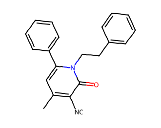 [C-]#[N+]c1c(C)cc(-c2ccccc2)n(CCc2ccccc2)c1=O